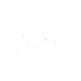 C=CC(=O)OC(F)C(C)C